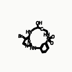 O=S1(=O)NCCC(O)CNc2nc(ncc2Br)Nc2cccc1c2